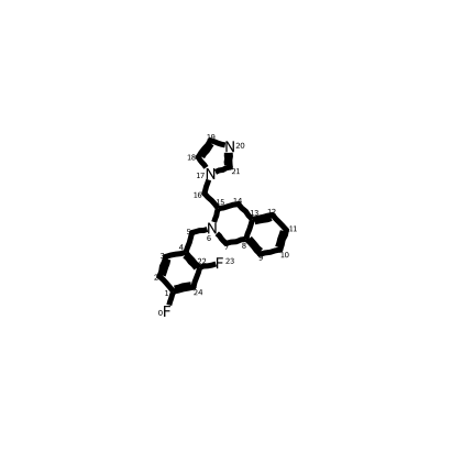 Fc1ccc(CN2Cc3ccccc3CC2Cn2ccnc2)c(F)c1